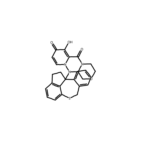 O=C1c2c(O)c(=O)ccn2N(C23CCc4cccc(c42)SCc2ccccc23)C2COCCN12